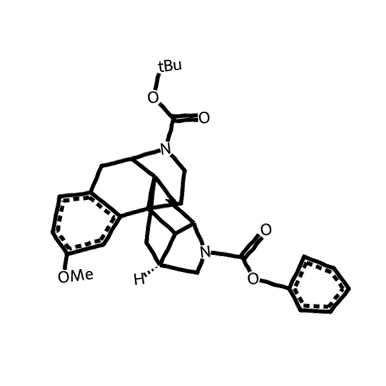 COc1ccc2c(c1)C13CCN(C(=O)OC(C)(C)C)C(C2)C12CCC1C3[C@@H](CN1C(=O)Oc1ccccc1)C2